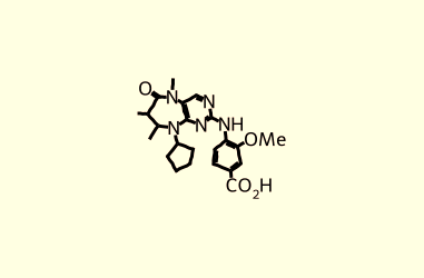 COc1cc(C(=O)O)ccc1Nc1ncc2c(n1)N(C1CCCC1)C(C)C(C)C(=O)N2C